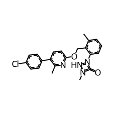 Cc1cccc(-n2[nH]n(C)c2=O)c1COc1ccc(-c2ccc(Cl)cc2)c(C)n1